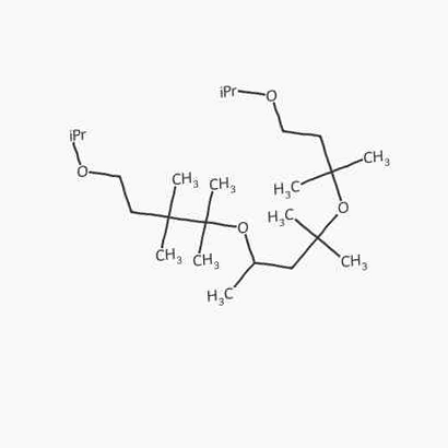 CC(C)OCCC(C)(C)OC(C)(C)CC(C)OC(C)(C)C(C)(C)CCOC(C)C